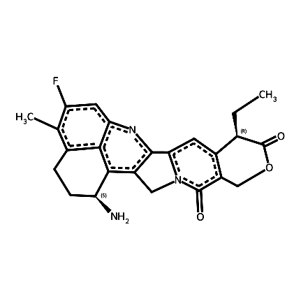 CC[C@H]1C(=O)OCc2c1cc1n(c2=O)Cc2c-1nc1cc(F)c(C)c3c1c2[C@@H](N)CC3